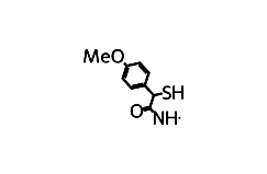 COc1ccc(C(S)C([NH])=O)cc1